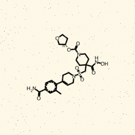 Cc1cc(C(N)=O)ccc1C1=CCN(S(=O)(=O)CC2(C(=O)NO)CCN(C(=O)O[C@H]3CCOC3)CC2)CC1